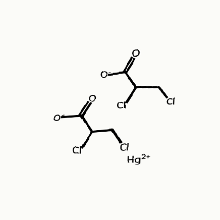 O=C([O-])C(Cl)CCl.O=C([O-])C(Cl)CCl.[Hg+2]